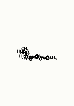 CCN1C(=O)[C@@H](CNc2ccc(NC(=O)CCN3CCN(C)CC3)cc2)SC1[C@H](N)C(=O)NCC(C)O